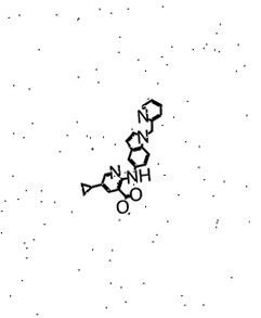 COC(=O)c1cc(C2CC2)cnc1Nc1ccc2c(ccn2Cc2ccccn2)c1